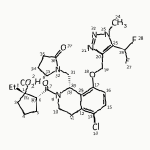 CC[C@]1(C(=O)O)CCC[C@H]1C(=O)N1CCc2c(Cl)ccc(OCc3nnn(C)c3C(F)F)c2[C@H]1CN1CCCC1=O